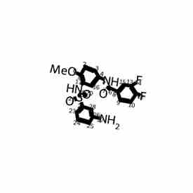 COc1ccc(NC(=O)c2ccc(F)c(F)c2)cc1NS(=O)(=O)c1cccc(N)c1